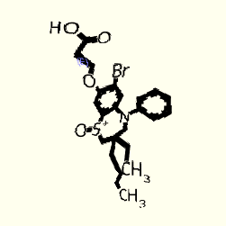 CCCCC1(CC)CN(c2ccccc2)c2cc(Br)c(O/C=C/C(=O)O)cc2[S+]([O-])C1